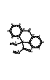 CCCCCCC1(C(=O)OC)c2ccccc2Oc2ccccc21